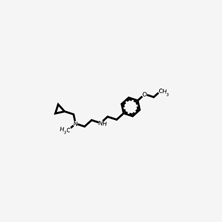 CCOc1ccc(CCNCCN(C)CC2CC2)cc1